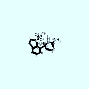 CS(=O)(=O)N1CCc2cccc(C3(N)C=CN=C(N)N3)c21